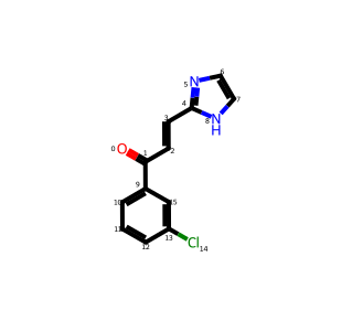 O=C(/C=C/c1ncc[nH]1)c1cccc(Cl)c1